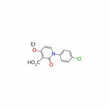 CCOc1ccn(-c2ccc(Cl)cc2)c(=O)c1C(=O)O